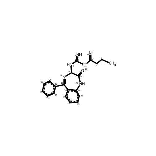 CCCC(=N)OC(=N)NC1N=C(c2ccccc2)c2ccccc2NC1=O